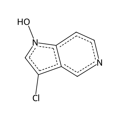 On1cc(Cl)c2cnccc21